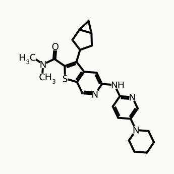 CN(C)C(=O)c1sc2cnc(Nc3ccc(N4CCCCC4)cn3)cc2c1C1CC2CC2C1